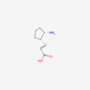 N[C@H]1CCC[C@H]1/C=C/C(=O)O